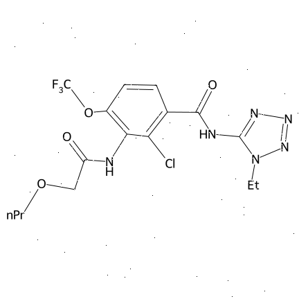 CCCOCC(=O)Nc1c(OC(F)(F)F)ccc(C(=O)Nc2nnnn2CC)c1Cl